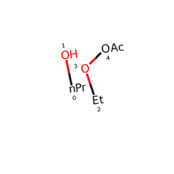 CCCO.CCOOC(C)=O